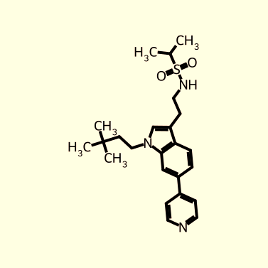 CC(C)S(=O)(=O)NCCc1cn(CCC(C)(C)C)c2cc(-c3ccncc3)ccc12